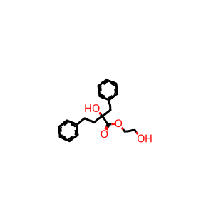 O=C(OCCO)C(O)(CCc1ccccc1)Cc1ccccc1